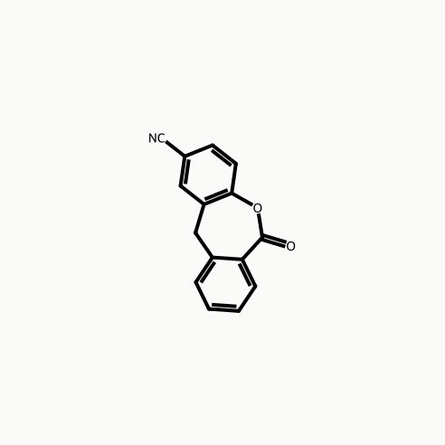 N#Cc1ccc2c(c1)Cc1ccccc1C(=O)O2